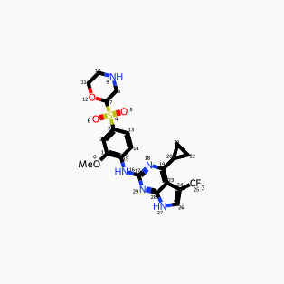 COc1cc(S(=O)(=O)C2CNCCO2)ccc1Nc1nc(C2CC2)c2c(C(F)(F)F)c[nH]c2n1